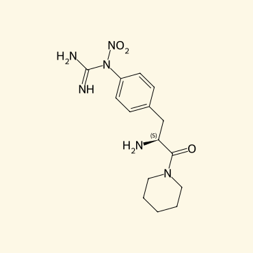 N=C(N)N(c1ccc(C[C@H](N)C(=O)N2CCCCC2)cc1)[N+](=O)[O-]